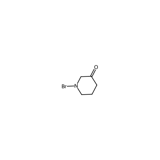 O=C1CCCN(Br)C1